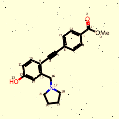 COC(=O)c1ccc(C#Cc2ccc(O)cc2CN2CCCC2)cc1